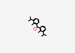 Cc1c(C(=O)c2cccc(C(C)C)c2C)cccc1C(C)C